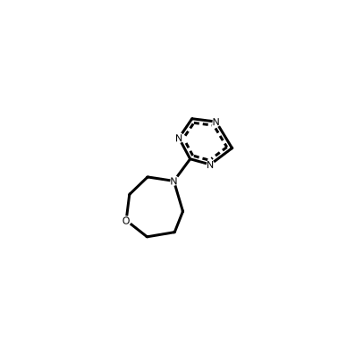 c1ncnc(N2CCCOCC2)n1